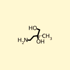 C[C@@](O)(CO)CCN